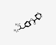 CC(C)Cc1ccc(OC(=O)c2cncnc2)cc1